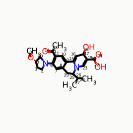 CO[C@H]1CCN(c2cc3c(cc2C(C)=O)C2=CC(O)C(C(=O)O)=CN2C(C(C)C)C3)C1